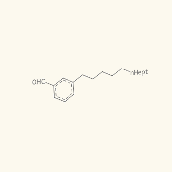 CCCCCCCCCCCCc1cccc(C=O)c1